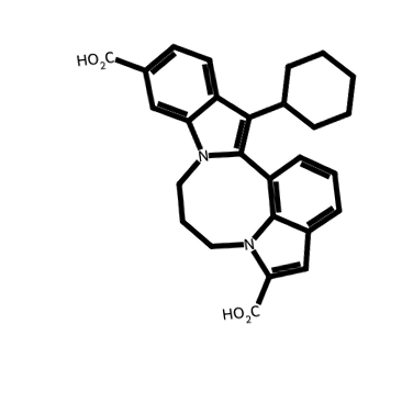 O=C(O)c1ccc2c(C3CCCCC3)c3n(c2c1)CCCn1c(C(=O)O)cc2cccc-3c21